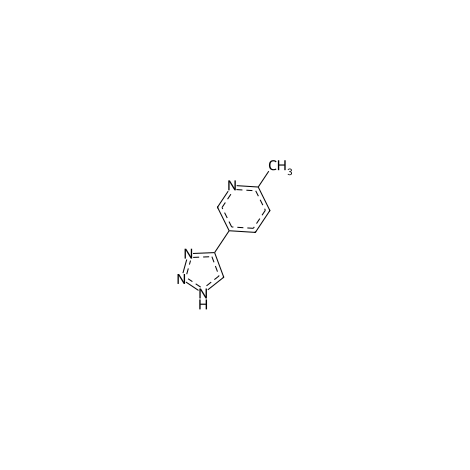 Cc1ccc(-c2c[nH]nn2)cn1